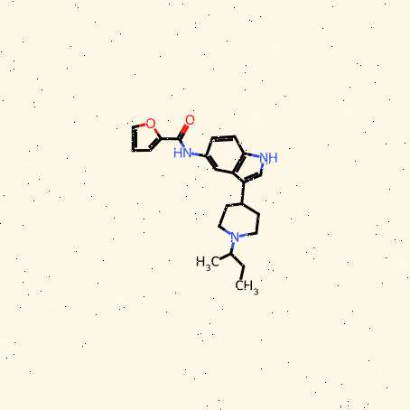 CCC(C)N1CCC(c2c[nH]c3ccc(NC(=O)c4ccco4)cc23)CC1